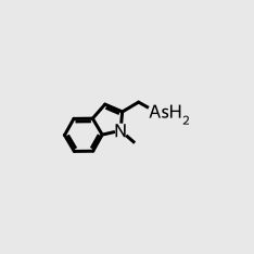 Cn1c(C[AsH2])cc2ccccc21